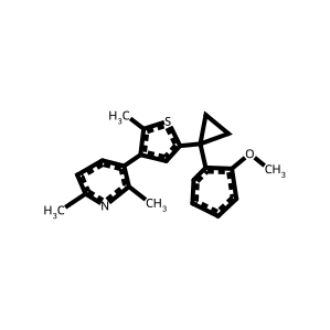 COc1ccccc1C1(c2cc(-c3ccc(C)nc3C)c(C)s2)CC1